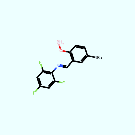 BOc1ccc(C(C)(C)C)cc1/C=N/c1c(F)cc(F)cc1F